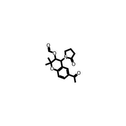 CC(=O)c1ccc2c(c1)C(N1CCCC1=O)C(OC=O)C(C)(C)O2